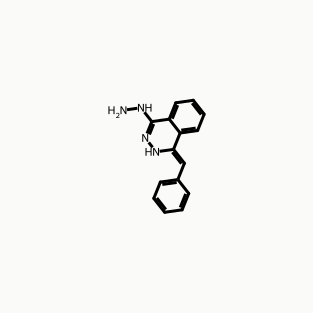 NNC1=NNC(=Cc2ccccc2)c2ccccc21